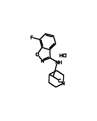 Cl.Fc1cccc2c(NC3CN4CCC3CC4)noc12